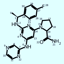 C[C@H](Nc1nc(Nc2cnccn2)cc(N2CCCC2C(N)=O)n1)c1ccc(F)cc1